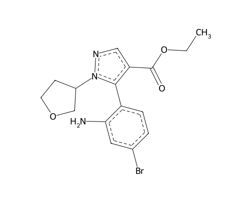 CCOC(=O)c1cnn(C2CCOC2)c1-c1ccc(Br)cc1N